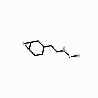 CC(C)O[SiH2]CCC1CCC2OC2C1